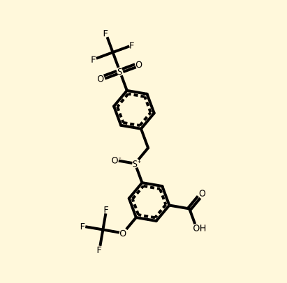 O=C(O)c1cc(OC(F)(F)F)cc([S+]([O-])Cc2ccc(S(=O)(=O)C(F)(F)F)cc2)c1